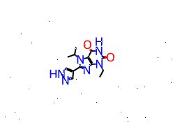 CCn1c(=O)[nH]c(=O)c2c1nc(-c1cn[nH]c1)n2C(C)C